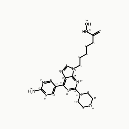 C=C(CCCCCn1cnc2c(-c3cnc(N)nc3)nc(N3CCOCC3)nc21)NO